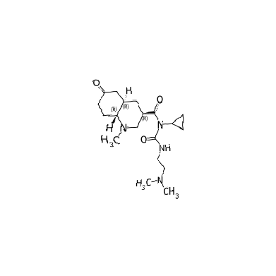 CN(C)CCNC(=O)N(C(=O)[C@@H]1C[C@@H]2CC(=O)CC[C@H]2N(C)C1)C1CC1